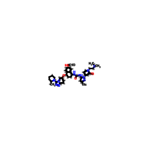 CC1CCCCN1c1nnc2ccc(O[C@@H]3CC[C@H](NC(=O)Nc4cc(C(C)(C)C)nn4-c4ccn(CCN(C)C)c(=O)c4)c4ccccc43)cn12.O=CO